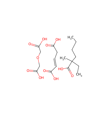 CCCCC(C)(CC)C(=O)O.O=C(O)C=CCC(=O)O.O=C(O)COCC(=O)O